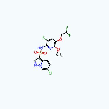 COc1nc(NS(=O)(=O)c2cnn3cc(Cl)ccc23)c(F)cc1OCC(F)F